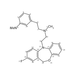 CNc1cccc(CCN(C)CCN2c3ccc(F)cc3COc3ccccc32)c1